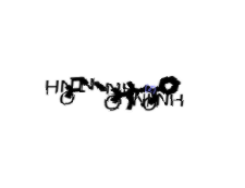 Cc1[nH]c(/C=C2\C(=O)Nc3ccccc32)c(C)c1C(=O)NCCN1CCNC(=O)C1